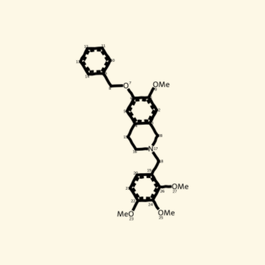 COc1cc2c(cc1OCc1ccccc1)CCN(Cc1ccc(OC)c(OC)c1OC)C2